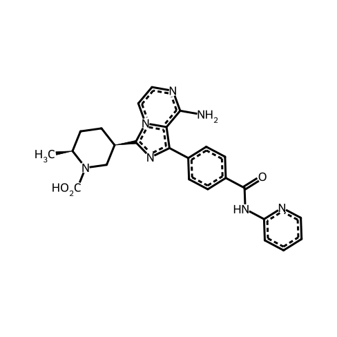 C[C@H]1CC[C@@H](c2nc(-c3ccc(C(=O)Nc4ccccn4)cc3)c3c(N)nccn23)CN1C(=O)O